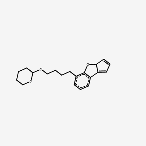 C1=CC2Oc3c(CCCCOC4CCCCO4)cccc3C2=C1